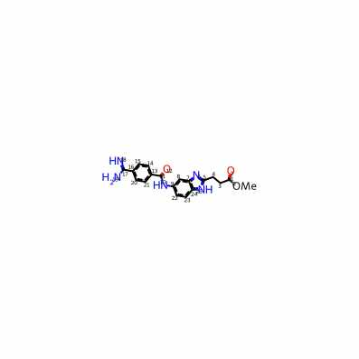 COC(=O)CCc1nc2cc(NC(=O)c3ccc(C(=N)N)cc3)ccc2[nH]1